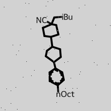 CCCCCCCCc1ccc(C2CCC(C3CCC(C#N)(CC(C)CC)CC3)CC2)cc1